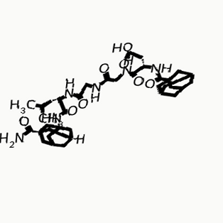 CC(C)C[C@H](NC(=O)CNC(=O)CNC(=O)[C@H](CC(=O)O)NC(=O)C12CC3CC(CC(C3)C1)C2)C(=O)N[C@@]12CC3C[C@H](C1)C[C@](C(N)=O)(C3)C2